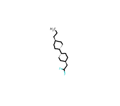 CCC[C@H]1CC[C@H]([C@H]2CC[C@H](CC(F)F)CC2)CC1